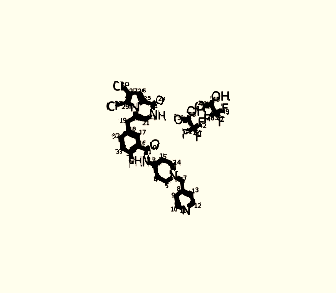 O=C(NC1CCN(Cc2ccncc2)CC1)c1cc(Cc2c[nH]c(=O)c3cc(Cl)c(Cl)n23)ccc1F.O=C(O)C(F)(F)F.O=C(O)C(F)(F)F